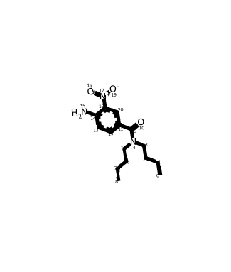 CCCCN(CCCC)C(=O)c1ccc(N)c([N+](=O)[O-])c1